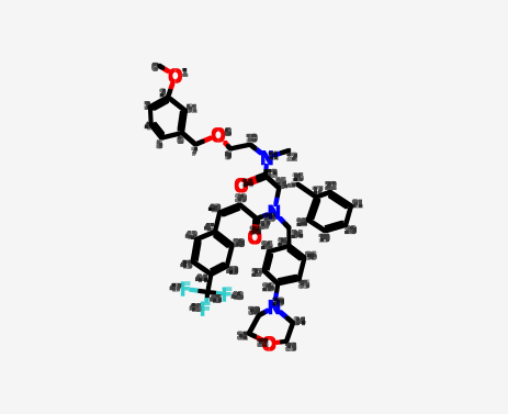 COc1cccc(COCCN(C)C(=O)[C@H](Cc2ccccc2)N(Cc2ccc(N3CCOCC3)cc2)C(=O)C=Cc2ccc(C(F)(F)F)cc2)c1